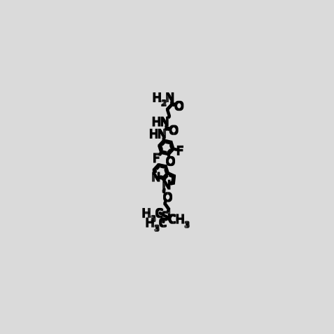 C[Si](C)(C)CCOCn1ccc2c(Oc3c(F)cc(NC(=O)NCCC(N)=O)cc3F)ccnc21